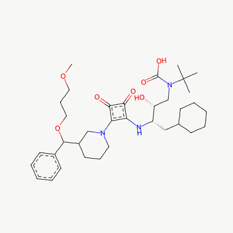 COCCCOC(c1ccccc1)C1CCCN(c2c(N[C@@H](CC3CCCCC3)[C@H](O)CN(C(=O)O)C(C)(C)C)c(=O)c2=O)C1